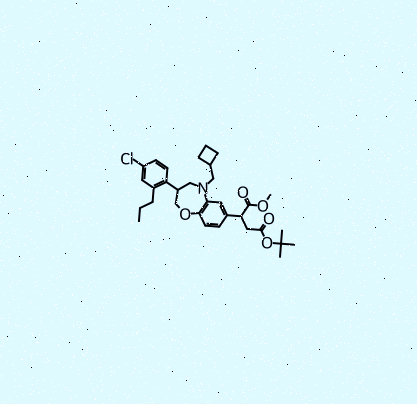 CCCc1cc(Cl)ccc1C1COc2ccc(C(CC(=O)OC(C)(C)C)C(=O)OC)cc2N(CC2CCC2)C1